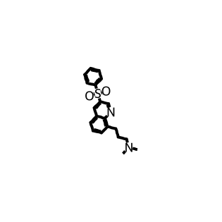 CN(C)CCCc1cccc2cc(S(=O)(=O)c3ccccc3)cnc12